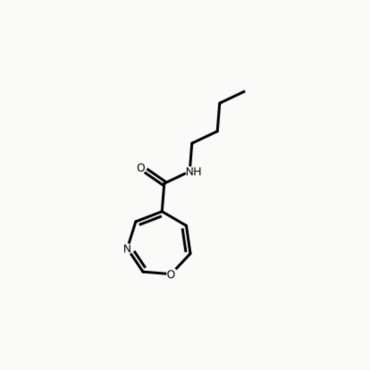 CCCCNC(=O)C1=CN=COC=C1